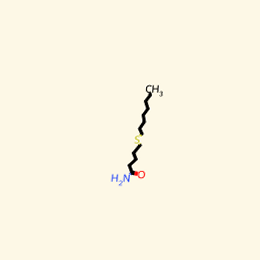 CCCCCCCCSCCCCC(N)=O